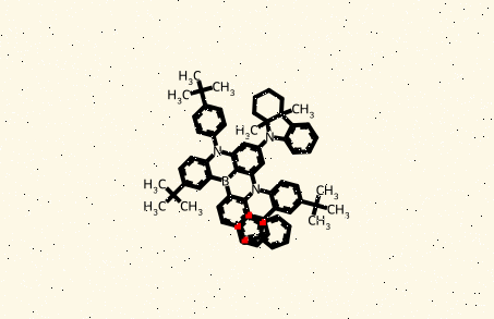 CC(C)(C)c1ccc(N2c3ccc(C(C)(C)C)cc3B3c4ccc5sc6ccccc6c5c4N(c4ccc(C(C)(C)C)cc4-c4ccccc4)c4cc(N5c6ccccc6C6(C)CCCCC56C)cc2c43)cc1